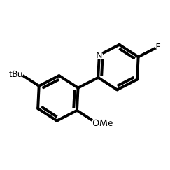 COc1ccc(C(C)(C)C)cc1-c1ccc(F)cn1